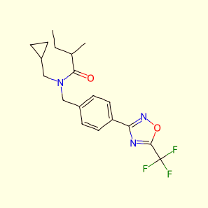 CCC(C)C(=O)N(Cc1ccc(-c2noc(C(F)(F)F)n2)cc1)CC1CC1